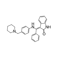 O=C1Nc2ccccc2C1=C(Nc1ccc(CN2CCCCC2)cc1)c1ccccc1